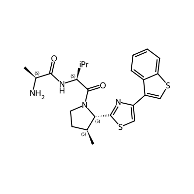 CC(C)[C@H](NC(=O)[C@H](C)N)C(=O)N1CC[C@H](C)[C@H]1c1nc(-c2csc3ccccc23)cs1